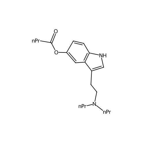 CCCC(=O)Oc1ccc2[nH]cc(CCN(CCC)CCC)c2c1